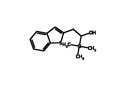 C[Si](C)(C)C(O)[CH]c1cc2ccccc2s1